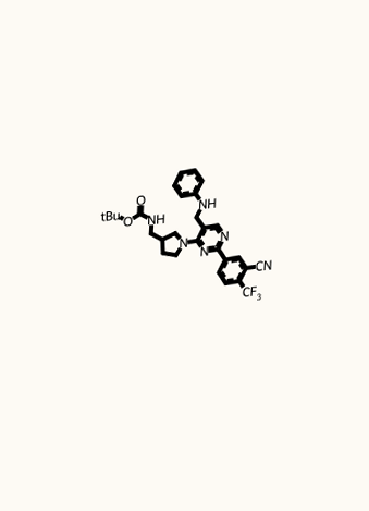 CC(C)(C)OC(=O)NCC1CCN(c2nc(-c3ccc(C(F)(F)F)c(C#N)c3)ncc2CNc2ccccc2)C1